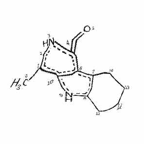 Cc1c[nH]c(=O)c2c3c([nH]c12)CCCC3